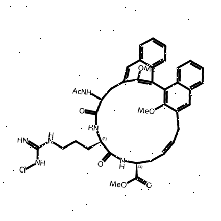 COC(=O)[C@@H]1CC=CCc2cc3ccccc3c(c2OC)-c2c(OC)c(cc3ccccc23)CC(NC(C)=O)C(=O)N[C@H](CCCNC(=N)NCl)C(=O)N1